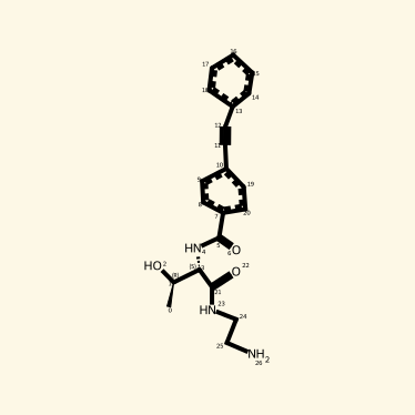 C[C@@H](O)[C@H](NC(=O)c1ccc(C#Cc2ccccc2)cc1)C(=O)NCCN